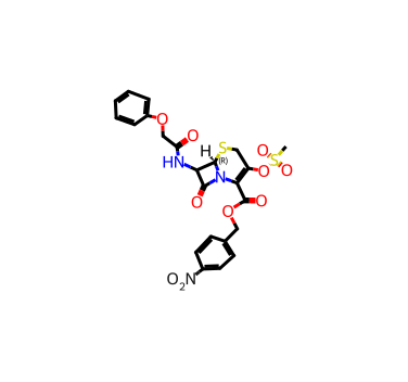 CS(=O)(=O)OC1=C(C(=O)OCc2ccc([N+](=O)[O-])cc2)N2C(=O)C(NC(=O)COc3ccccc3)[C@H]2SC1